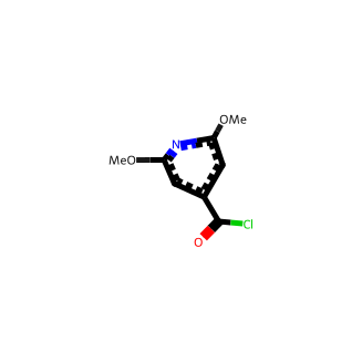 COc1cc(C(=O)Cl)cc(OC)n1